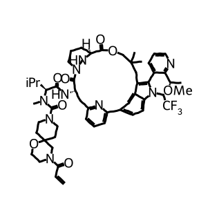 C=CC(=O)N1CCOC2(CCN(C(=O)N(C)[C@H](C(=O)N[C@H]3Cc4cccc(n4)-c4ccc5c(c4)c(c(-c4cccnc4[C@H](C)OC)n5CC(F)(F)F)CC(C)(C)COC(=O)[C@@H]4CCCN(N4)C3=O)C(C)C)CC2)C1